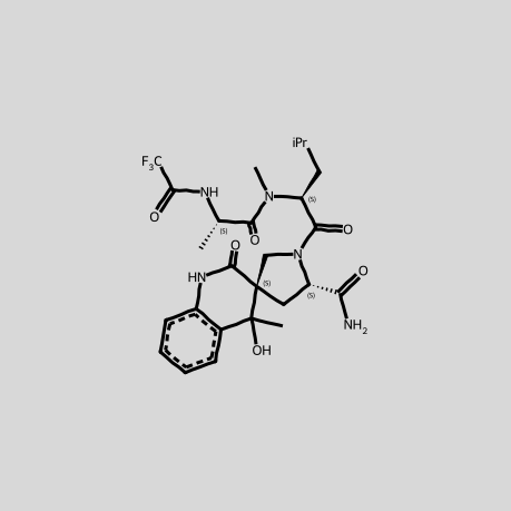 CC(C)C[C@@H](C(=O)N1C[C@]2(C[C@H]1C(N)=O)C(=O)Nc1ccccc1C2(C)O)N(C)C(=O)[C@H](C)NC(=O)C(F)(F)F